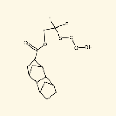 O=C(OCC(F)(F)SOOO)C1CC2CC1C1C3CCC(C3)C21